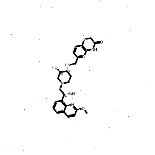 COc1ccc2cccc([C@@H](O)CN3CC[C@@H](NCc4ccc5c(n4)NC(=O)CS5)[C@H](O)C3)c2n1